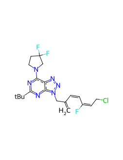 C=C(/C=C\C(F)=C/CCl)Cn1nnc2c(N3CCC(F)(F)C3)nc(C(C)(C)C)nc21